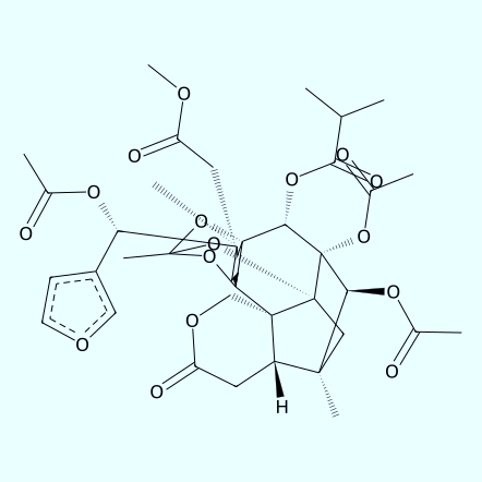 COC(=O)C[C@@H]1[C@](C)([C@@H](OC(C)=O)c2ccoc2)CC[C@@]23OC4(C)O[C@@]12[C@H](OC(=O)C(C)C)[C@@]1(OC(C)=O)[C@@H](OC(C)=O)[C@@]2(C)C[C@@]1(O4)[C@]31COC(=O)C[C@@H]21